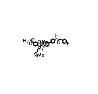 CNCCCC(=O)N(C(=N)/N=c1/ccc(-c2ccc(NC(=O)Cc3ccc(F)cc3)cc2)c[nH]1)c1ccc(S(C)(=O)=O)cc1OC